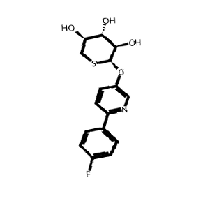 O[C@@H]1[C@@H](O)[C@@H](Oc2ccc(-c3ccc(F)cc3)nc2)SC[C@H]1O